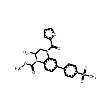 COC(=O)N1c2ccc(-c3ccc(S(C)(=O)=O)cc3)cc2N(C(=O)c2ccco2)CC1C